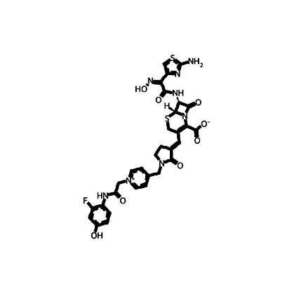 Nc1nc(/C(=N/O)C(=O)N[C@@H]2C(=O)N3C(C(=O)[O-])=C(C=C4CCN(Cc5cc[n+](CC(=O)Nc6ccc(O)cc6F)cc5)C4=O)CS[C@H]23)cs1